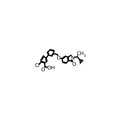 C[C@@H](C1CC1)N1Cc2cc(OCc3cccc(-c4ccc(Cl)c(C(=O)O)c4)c3)ccc2C1=O